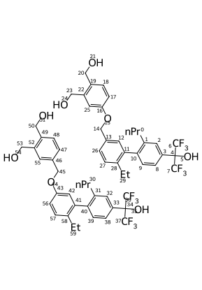 CCCc1cc(C(O)(C(F)(F)F)C(F)(F)F)ccc1-c1cc(COc2ccc(CO)c(CO)c2)ccc1CC.CCCc1cc(C(O)(C(F)(F)F)C(F)(F)F)ccc1-c1cc(OCc2ccc(CO)c(CO)c2)ccc1CC